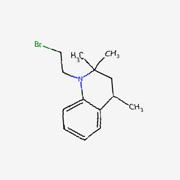 CC1CC(C)(C)N(CCBr)c2ccccc21